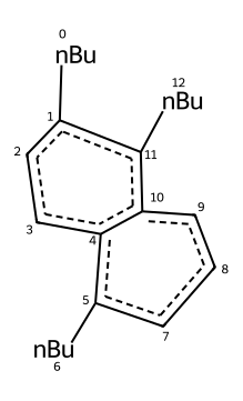 CCCCc1ccc2c(CCCC)cccc2c1CCCC